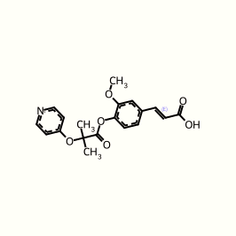 COc1cc(/C=C/C(=O)O)ccc1OC(=O)C(C)(C)Oc1ccncc1